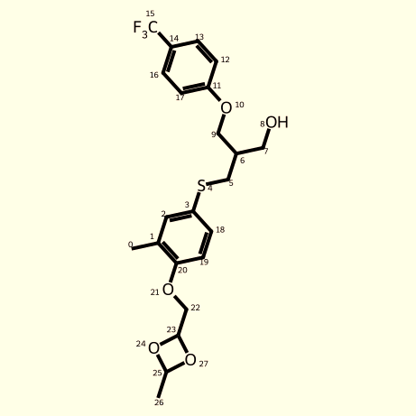 Cc1cc(SCC(CO)COc2ccc(C(F)(F)F)cc2)ccc1OCC1OC(C)O1